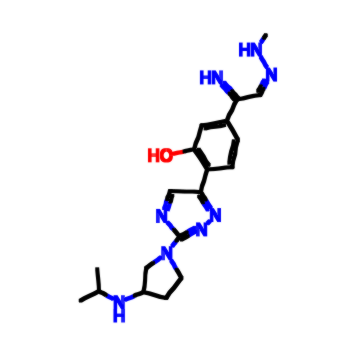 CN/N=C\C(=N)c1ccc(-c2cnc(N3CCC(NC(C)C)C3)nn2)c(O)c1